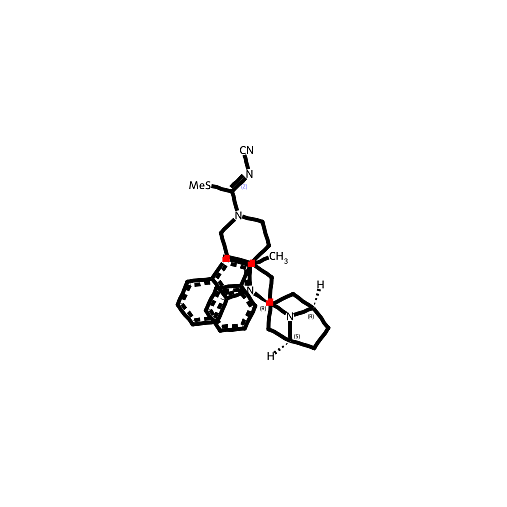 CS/C(=N\C#N)N1CCC(CCN2[C@@H]3CC[C@H]2C[C@@H](n2c(C)nc4ccccc42)C3)(c2ccccc2)CC1